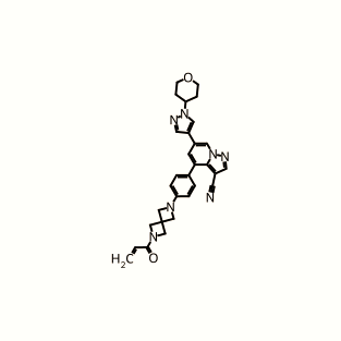 C=CC(=O)N1CC2(C1)CN(c1ccc(-c3cc(-c4cnn(C5CCOCC5)c4)cn4ncc(C#N)c34)cc1)C2